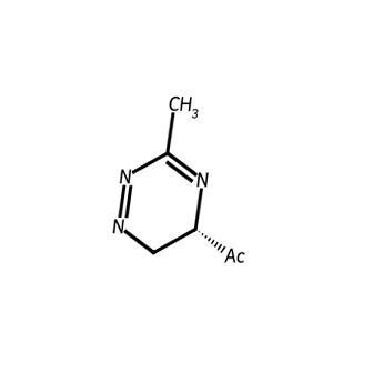 CC(=O)[C@@H]1CN=NC(C)=N1